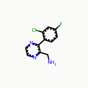 NCc1nccnc1-c1ccc(F)cc1Cl